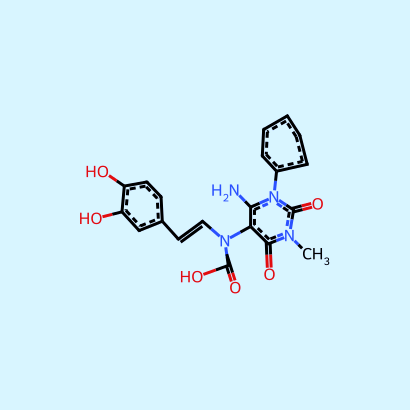 Cn1c(=O)c(N(C=Cc2ccc(O)c(O)c2)C(=O)O)c(N)n(-c2ccccc2)c1=O